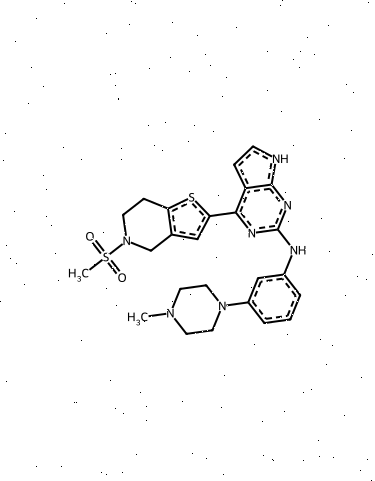 CN1CCN(c2cccc(Nc3nc(-c4cc5c(s4)CCN(S(C)(=O)=O)C5)c4cc[nH]c4n3)c2)CC1